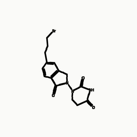 O=C1CCN(N2Cc3cc(CCCBr)ccc3C2=O)C(=O)N1